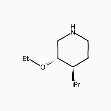 CCO[C@@H]1CNCC[C@H]1C(C)C